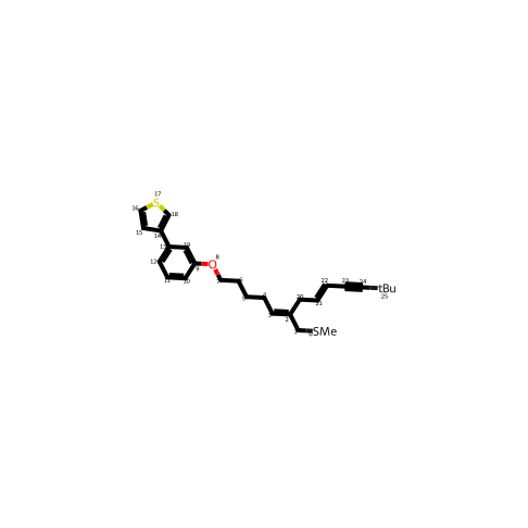 CSCC(=CCCCCOc1cccc(-c2ccsc2)c1)CC=CC#CC(C)(C)C